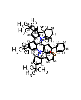 CC(C)(C)c1ccc(N2c3cc4sc5ccccc5c4cc3B3c4c(cc(C(C)(C)C)cc42)-c2cc(C(C)(C)C)cc4c2N3C2(C)CCCCC42C)c(-c2ccccc2)c1